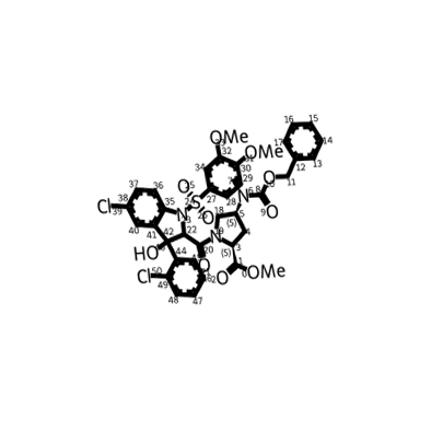 COC(=O)[C@@H]1C[C@H](N(C)C(=O)OCc2ccccc2)CN1C(=O)C1N(S(=O)(=O)c2ccc(OC)c(OC)c2)c2ccc(Cl)cc2C1(O)c1ccccc1Cl